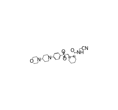 N#CCNC(=O)[C@@H]1CCCC[C@H]1CS(=O)(=O)c1ccc(N2CCC(N3CCOCC3)CC2)cc1